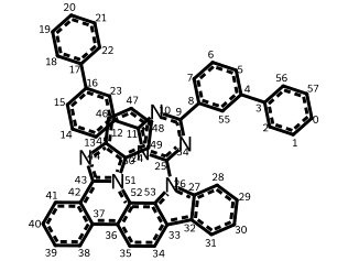 c1ccc(-c2cccc(-c3nc(-c4cccc(-c5ccccc5)c4)nc(-n4c5ccccc5c5ccc6c7ccccc7c7nc8ccccc8n7c6c54)n3)c2)cc1